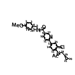 COc1ccc(CNC(=O)c2ccc(-c3ccc(N(CC4CC4)C(C)=O)c(Cl)c3)nc2)cn1